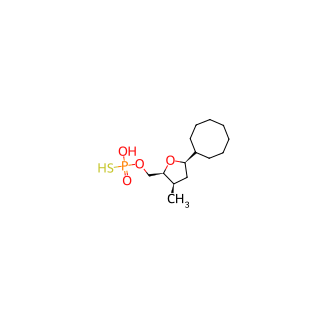 C[C@@H]1C[C@H](C2CCCCCCC2)O[C@@H]1COP(=O)(O)S